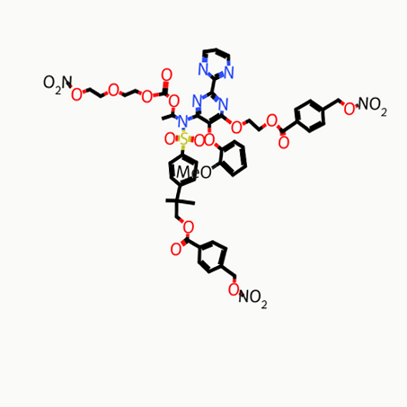 COc1ccccc1Oc1c(OCCOC(=O)c2ccc(CO[N+](=O)[O-])cc2)nc(-c2ncccn2)nc1N(C(C)OC(=O)OCCOCCO[N+](=O)[O-])S(=O)(=O)c1ccc(C(C)(C)COC(=O)c2ccc(CO[N+](=O)[O-])cc2)cc1